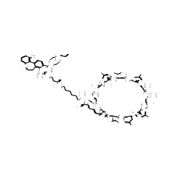 C=CC(=O)N1CCN(c2nc(NCCC(=O)NCCCCCCNC(=O)CCC[C@@H](C)[C@@H](O)[C@H]3C(=O)N[C@@H](CC)C(=O)N(C)CC(=O)N(C)[C@@H](CC(C)C)C(=O)N[C@@H](C(C)C)C(=O)N(C)[C@@H](CC(C)C)C(=O)N[C@@H](C)C(=O)N[C@H](C)C(=O)N(C)[C@@H](CC(C)C)C(=O)N(C)C(CC(C)C)C(=O)N(C)[C@@H](C(C)C)C(=O)N3C)nc3c4c(c(Cl)cc23)-c2c(F)cccc2OCC4)CC1